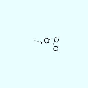 CCCNC(=O)c1ccc2c(c1)N=C(c1ccccc1Cl)c1ccccc1S2